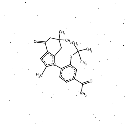 Cc1cc2c(n1-c1ccc(C(N)=O)cc1SC(C)(C)C)CC(C)(C)CC2=O